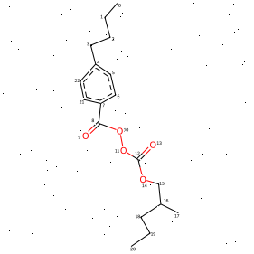 CCCCc1ccc(C(=O)OOC(=O)OCC(C)CCC)cc1